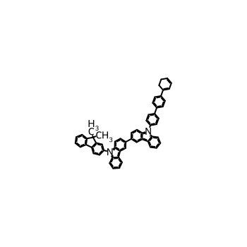 CC1(C)c2ccccc2-c2ccc(-n3c4ccccc4c4cc(-c5ccc6c(c5)c5ccccc5n6-c5ccc(-c6ccc(C7=CC=CCC7)cc6)cc5)ccc43)cc21